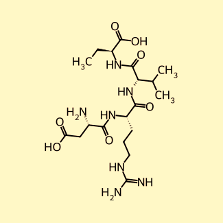 CC[C@H](NC(=O)[C@@H](NC(=O)[C@H](CCCNC(=N)N)NC(=O)[C@@H](N)CC(=O)O)C(C)C)C(=O)O